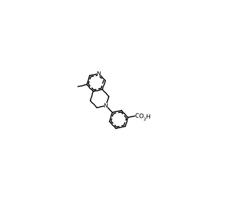 Cc1cncc2c1CCN(c1cccc(C(=O)O)c1)C2